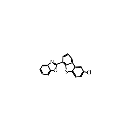 Clc1ccc2sc3c(-c4nc5ccccc5o4)cccc3c2c1